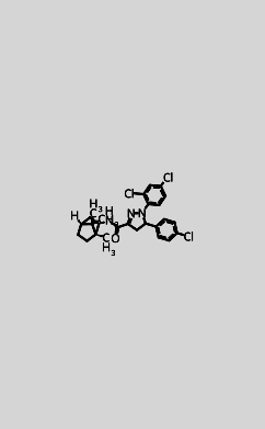 CC1(C)[C@@H]2CC[C@@]1(C)[C@@H](NC(=O)C1=NN(c3ccc(Cl)cc3Cl)C(c3ccc(Cl)cc3)C1)C2